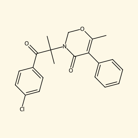 CC1=C(c2ccccc2)C(=O)N(C(C)(C)C(=O)c2ccc(Cl)cc2)CO1